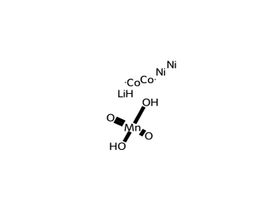 [Co].[Co].[LiH].[Ni].[Ni].[O]=[Mn](=[O])([OH])[OH]